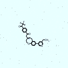 CCc1cncc(-c2ccc3c(c2)C/C=C(/CC(=O)c2ccc(C(=O)C(F)(F)F)cc2)CCO3)c1